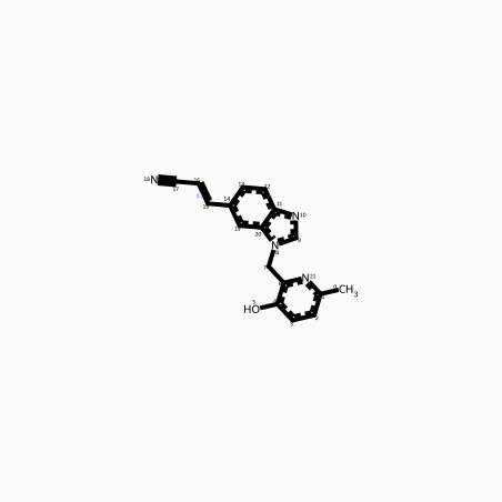 Cc1ccc(O)c(Cn2cnc3ccc(/C=C/C#N)cc32)n1